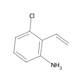 C=Cc1c(N)cccc1Cl